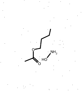 CCCCOC(C)=O.NO